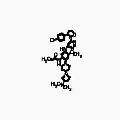 C=CC(=O)Nc1cc(Nc2cc(N3OCC[C@@H]3c3ccc(Cl)cc3)ncn2)c(OC)cc1N1CCC(N2CC[C@H](N(C)C)C2)CC1